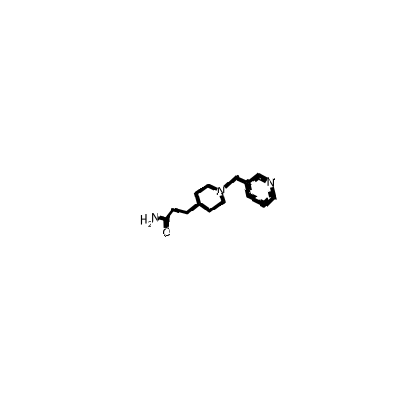 NC(=O)CCC1CCN(Cc2cccnc2)CC1